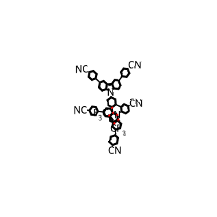 N#Cc1ccc(-c2ccc3c(c2)c2cc(-c4ccc(C#N)cc4)ccc2n3-c2ccc(-c3ccc(C(F)(F)F)cc3C(F)(F)F)c(-c3cc(C#N)ccc3-n3c4ccc(-c5ccc(C#N)cc5)cc4c4cc(-c5ccc(C#N)cc5)ccc43)c2)cc1